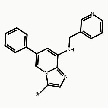 Brc1cnc2c(NCc3cccnc3)cc(-c3ccccc3)cn12